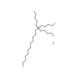 CCCCCCCCCCCC[N+](CCCCC)(CCCCC)CCCCC.[I-]